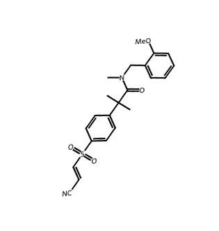 COc1ccccc1CN(C)C(=O)C(C)(C)c1ccc(S(=O)(=O)C=CC#N)cc1